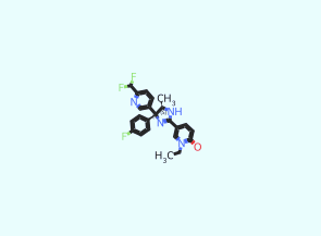 CCn1cc(C2=N[C@](c3ccc(F)cc3)(c3ccc(C(F)F)nc3)[C@H](C)N2)ccc1=O